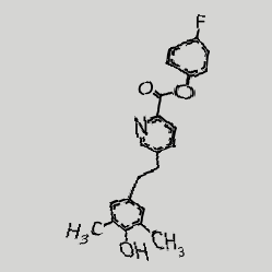 Cc1cc(CCc2ccc(C(=O)Oc3ccc(F)cc3)nc2)cc(C)c1O